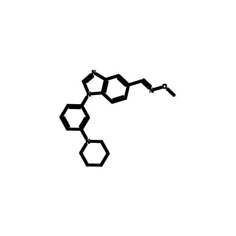 CON=Cc1ccc2c(c1)ncn2-c1cccc(N2CCCCC2)c1